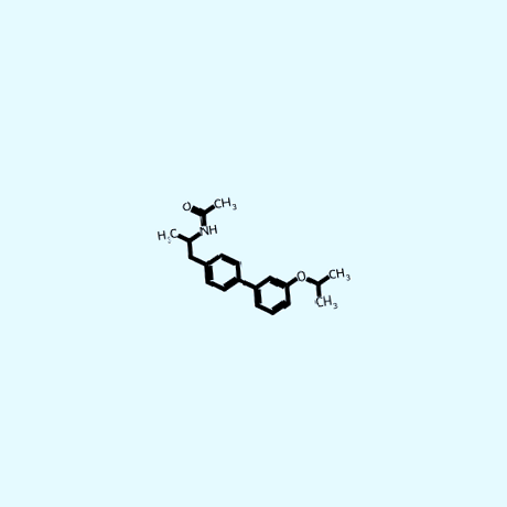 CC(=O)NC(C)Cc1ccc(-c2cccc(OC(C)C)c2)cc1